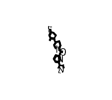 Cc1cc(F)ccc1C1CCN(C(=O)c2cccc(C3CCN(C)C3)n2)CC1